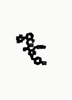 CCc1ccc(Cn2cc(C(=O)NCc3c(F)cccc3-n3cnnn3)c(COC)n2)cc1